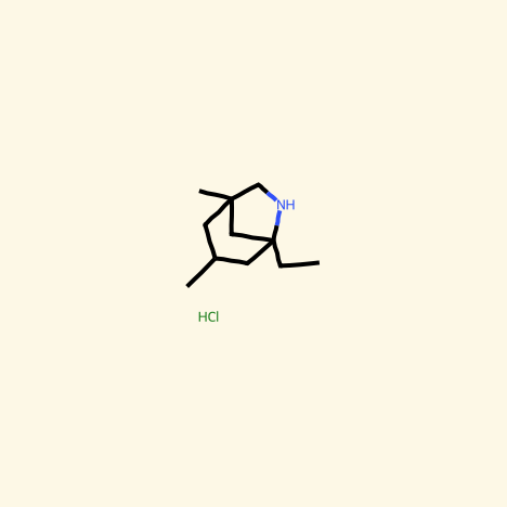 CCC12CC(C)CC(C)(CN1)C2.Cl